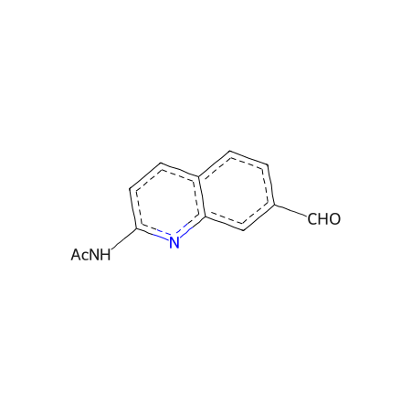 CC(=O)Nc1ccc2ccc(C=O)cc2n1